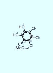 COC.Oc1c(O)c(Cl)c(Cl)c(Cl)c1Cl